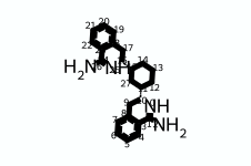 N=C(N)c1ccccc1CC[C@H]1CCC[C@@H](CCc2ccccc2C(=N)N)C1